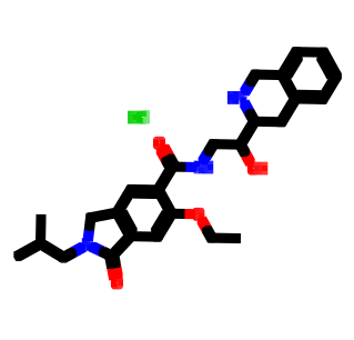 CCOc1cc2c(cc1C(=O)NCC(O)C1Cc3ccccc3CN1)CN(CC(C)C)C2=O.Cl